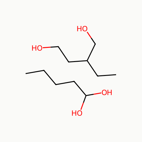 CCC(CO)CCO.CCCCC(O)O